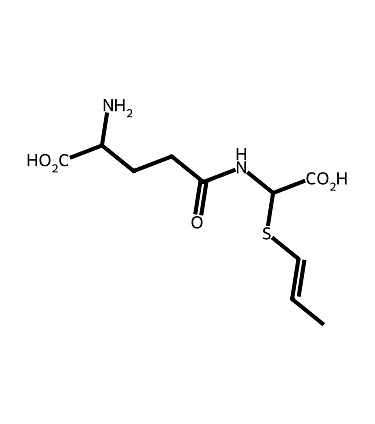 CC=CSC(NC(=O)CCC(N)C(=O)O)C(=O)O